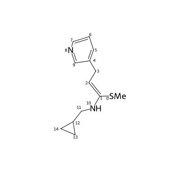 CS/C(=C\Cc1cccnc1)NCC1CC1